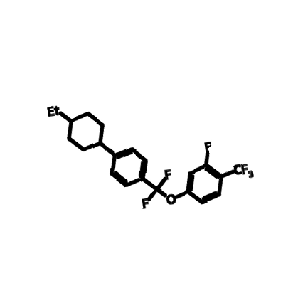 CCC1CCC(c2ccc(C(F)(F)Oc3ccc(C(F)(F)F)c(F)c3)cc2)CC1